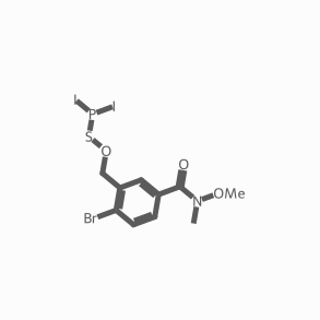 CON(C)C(=O)c1ccc(Br)c(COSP(I)I)c1